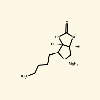 O=C(O)CCCC[C@@H]1SC[C@@H]2NC(=O)N[C@@H]21.[MgH2]